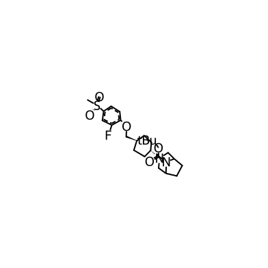 CC(C)(C)OC(=O)N1C2CCC1CN([C@H]1CC[C@H](COc3ccc(S(C)(=O)=O)cc3F)CC1)C2